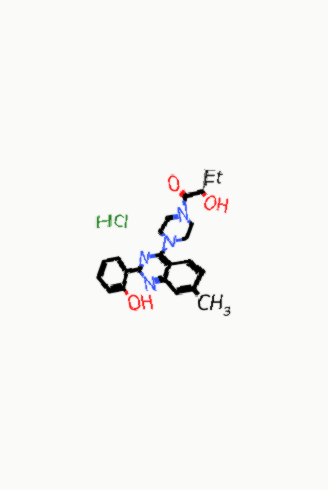 CC[C@H](O)C(=O)N1CCN(c2nc(-c3ccccc3O)nc3cc(C)ccc23)CC1.Cl